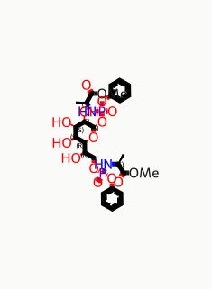 COC(=O)[C@H](C)NP(=O)(OC[C@@H](O)[C@H]1O[C@@H](OP(=O)(N[C@@H](C)C(=O)OC)Oc2ccccc2)[C@@H](O)[C@@H](O)[C@@H]1O)Oc1ccccc1